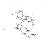 CS(=O)(=O)Cc1[nH]c2ccccc2c1-c1c[nH]c2ccc(CC(=O)O)cc12